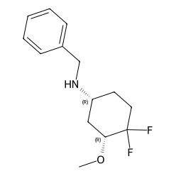 CO[C@@H]1C[C@H](NCc2ccccc2)CCC1(F)F